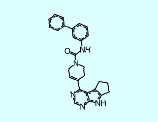 O=C(Nc1cccc(-c2ccccc2)c1)N1CC=C(c2ncnc3[nH]c4c(c23)CCC4)CC1